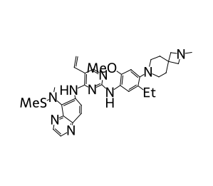 C=Cc1cnc(Nc2cc(CC)c(N3CCC4(CC3)CN(C)C4)cc2OC)nc1Nc1ccc2nccnc2c1N(C)SC